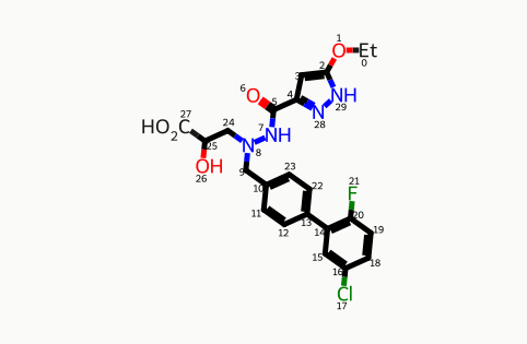 CCOc1cc(C(=O)NN(Cc2ccc(-c3cc(Cl)ccc3F)cc2)CC(O)C(=O)O)n[nH]1